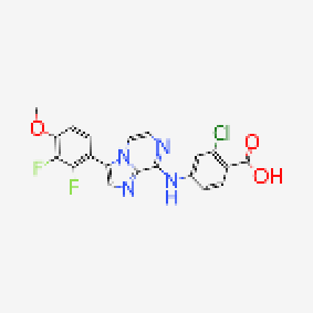 COc1ccc(-c2cnc3c(Nc4ccc(C(=O)O)c(Cl)c4)nccn23)c(F)c1F